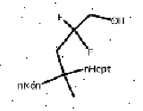 CCCCCCCCCC(C)(CCCCCCC)CC(F)(F)CO